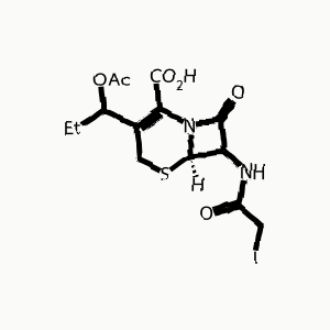 CCC(OC(C)=O)C1=C(C(=O)O)N2C(=O)C(NC(=O)CI)[C@H]2SC1